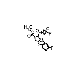 CCOC(=O)C1CC(Sc2ccc(F)cc2Cl)CC1C(=O)N1CC(F)(F)C1